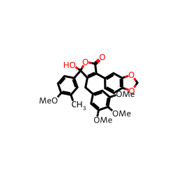 COc1ccc(C2(O)OC(=O)C(c3ccc4c(c3)OCO4)=C2Cc2cc(OC)c(OC)c(OC)c2)cc1C